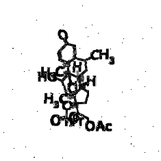 CCCC(=O)O[C@]1(C(=O)COC(C)=O)CC[C@H]2[C@@H]3CC(C)C4=CC(=O)C=C[C@]4(C)[C@@]3(Cl)C(O)C[C@@]21C